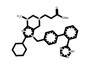 COC(=O)CCN1Cc2c(nc(C3CCCCC3)n2Cc2ccc(-c3ccccc3-c3nnn[nH]3)cc2)N(C)C1